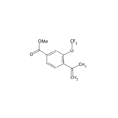 C=C(C)c1ccc(C(=O)OC)cc1OC(F)(F)F